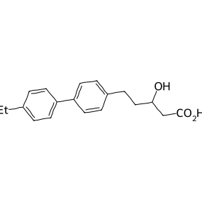 CCc1ccc(-c2ccc(CCC(O)CC(=O)O)cc2)cc1